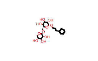 O[C@@H]1[C@@H](O)[C@H](OC/C=C/c2ccccc2)O[C@H](CO[C@@H]2OC[C@H](O)[C@H](O)[C@H]2O)[C@H]1O